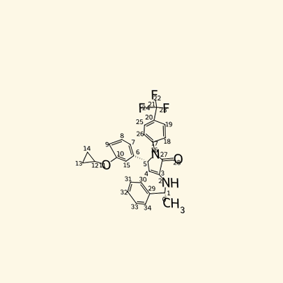 C[C@@H](NC1=C[C@H](c2cccc(OC3CC3)c2)N(c2ccc(C(F)(F)F)cc2)C1=O)c1ccccc1